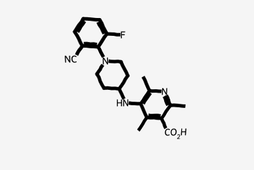 Cc1nc(C)c(C(=O)O)c(C)c1NC1CCN(c2c(F)cccc2C#N)CC1